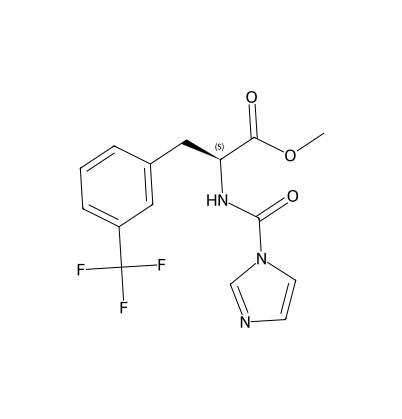 COC(=O)[C@H](Cc1cccc(C(F)(F)F)c1)NC(=O)n1ccnc1